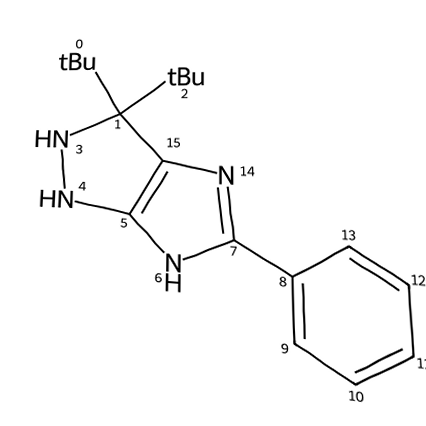 CC(C)(C)C1(C(C)(C)C)NNc2[nH]c(-c3ccccc3)nc21